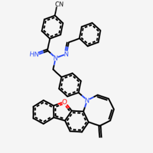 C=C1/C=C\C=C/N(c2ccc(CN(/N=C/c3ccccc3)C(=N)c3ccc(C#N)cc3)cc2)c2c1ccc1c2oc2ccccc21